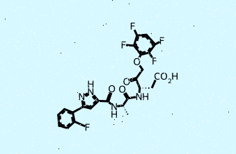 C[C@H](NC(=O)c1cc(-c2ccccc2F)n[nH]1)C(=O)N[C@@H](CC(=O)O)C(=O)COc1c(F)c(F)cc(F)c1F